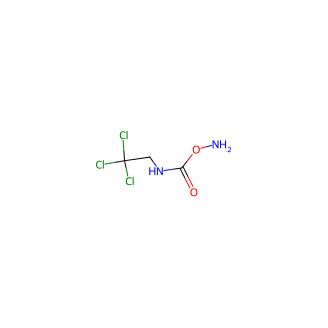 NOC(=O)NCC(Cl)(Cl)Cl